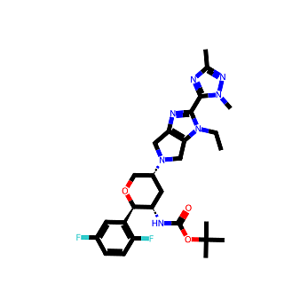 CCn1c(-c2nc(C)nn2C)nc2c1CN([C@H]1CO[C@H](c3cc(F)ccc3F)[C@@H](NC(=O)OC(C)(C)C)C1)C2